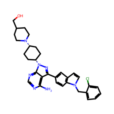 Nc1ncnc2c1c(-c1ccc3c(ccn3Cc3ccccc3Cl)c1)nn2[C@H]1CC[C@@H](N2CCC(CO)CC2)CC1